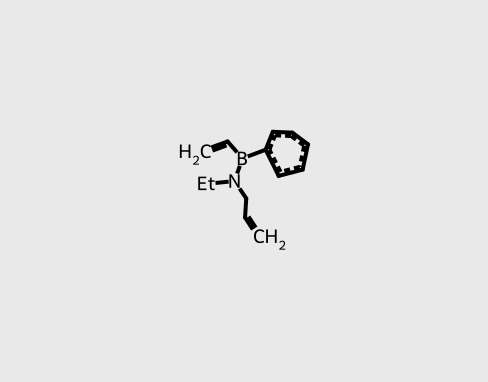 C=CCN(CC)B(C=C)c1ccccc1